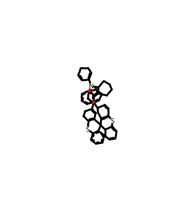 C1=CCC2C(=C1)SC1=C(CC(c3cccc4c3c3c(n4C4=CCCC=C4)CCCC3)C=C1)C21C2=C(CCC(C3=CCCCC3)=C2)Sc2ccccc21